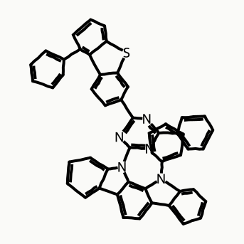 c1ccc(-c2nc(-c3ccc4c(c3)sc3cccc(-c5ccccc5)c34)nc(-n3c4ccccc4c4ccc5c6ccccc6n(-c6ccccc6)c5c43)n2)cc1